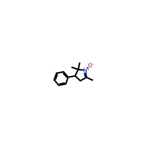 CC1=[N+]([O-])C(C)(C)C(c2ccccc2)C1